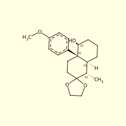 COc1ccc([C@]23CCC4(OCCO4)[C@@H](C)[C@@H]2CCC[C@@H]3O)cc1